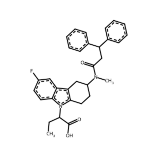 CCC(C(=O)O)n1c2c(c3cc(F)ccc31)CC(N(C)C(=O)CC(c1ccccc1)c1ccccc1)CC2